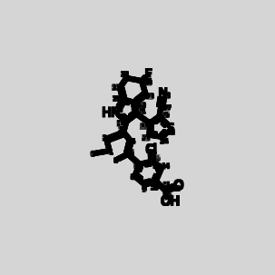 CC/C=C(\C=C(/C)c1ccc(C(=O)O)cc1Cl)c1[nH]c2c(c1-c1ccsc1C#N)=CC(F)CC=2